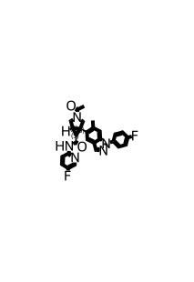 CC(=O)N1C[C@H]2[C@H](C(=O)Nc3ccc(F)cn3)[C@@]2(c2cc3cnn(-c4ccc(F)cc4)c3cc2C)C1